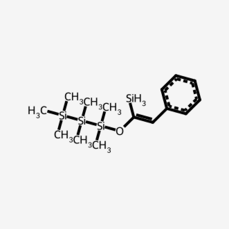 C[Si](C)(C)[Si](C)(C)[Si](C)(C)OC([SiH3])=Cc1ccccc1